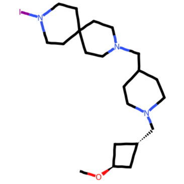 CO[C@H]1C[C@H](CN2CCC(CN3CCC4(CCN(I)CC4)CC3)CC2)C1